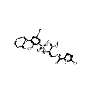 COC(=O)C(CNC(=O)c1ccc(Cl)s1)NS(=O)(=O)c1cc(F)cc(N2CCCCC2=O)c1Cl